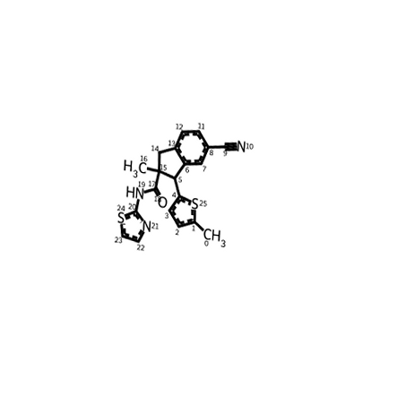 Cc1ccc(C2c3cc(C#N)ccc3CC2(C)C(=O)Nc2nccs2)s1